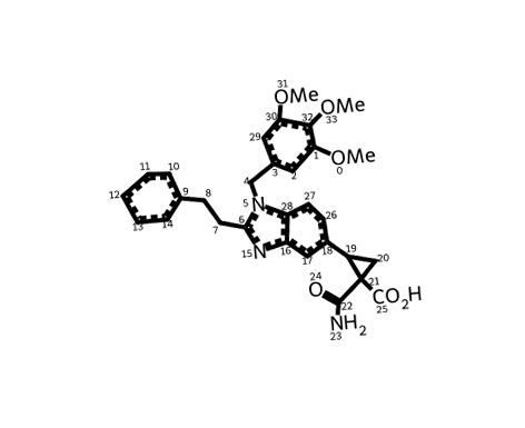 COc1cc(Cn2c(CCc3ccccc3)nc3cc(C4CC4(C(N)=O)C(=O)O)ccc32)cc(OC)c1OC